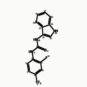 O=C(Nc1ccc(C(F)(F)F)cc1F)Nc1c[nH]c2cccnc12